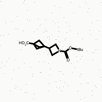 CC(C)(C)OC(=O)N1CC(C23CC(C(=O)O)(C2)C3)C1